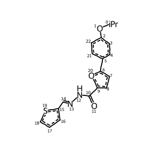 CC(C)Oc1ccc(-c2ccc(C(=O)N/N=C/c3cccs3)o2)cc1